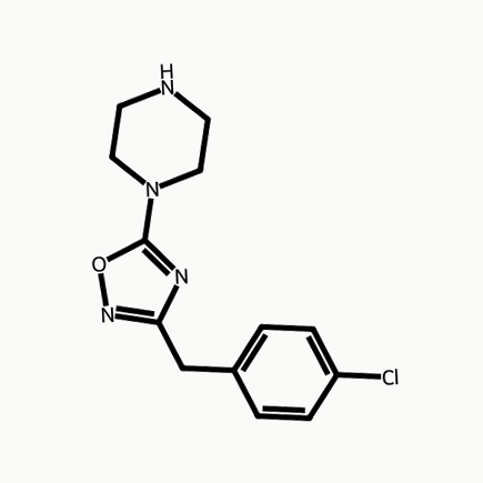 Clc1ccc(Cc2noc(N3CCNCC3)n2)cc1